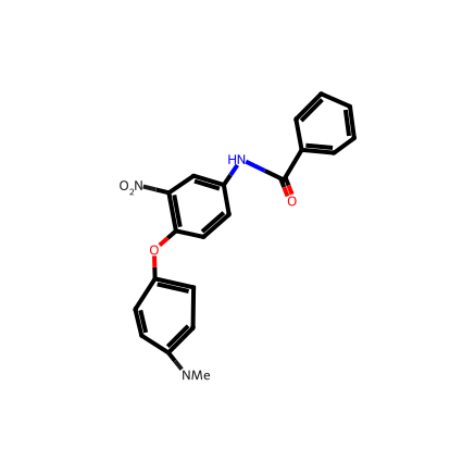 CNc1ccc(Oc2ccc(NC(=O)c3ccccc3)cc2[N+](=O)[O-])cc1